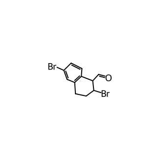 O=CC1c2ccc(Br)cc2CCC1Br